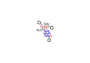 CC(=O)OC[C@]1(COCc2ccccc2)O[C@@H](n2cnc3c(NC(=O)c4ccccc4)ncnc32)[C@H](OC(C)=O)[C@@H]1OCc1ccccc1